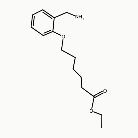 CCOC(=O)CCCCCOc1ccccc1CN